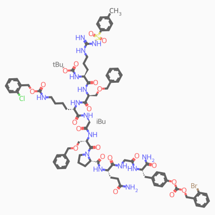 CC[C@H](C)[C@H](NC(=O)[C@H](CCCCNC(=O)OCc1ccccc1Cl)NC(=O)[C@H](COCc1ccccc1)NC(=O)[C@H](CCCNC(=N)NS(=O)(=O)c1ccc(C)cc1)NC(=O)OC(C)(C)C)C(=O)N[C@@H](COCc1ccccc1)C(=O)N1CCC[C@H]1C(=O)N[C@@H](CCC(N)=O)C(=O)NCC(=O)N[C@@H](Cc1ccc(OC(=O)OCc2ccccc2Br)cc1)C(N)=O